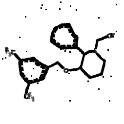 N#CCN1CCCC(OCc2cc(C(F)(F)F)cc(C(F)(F)F)c2)C1c1ccccc1